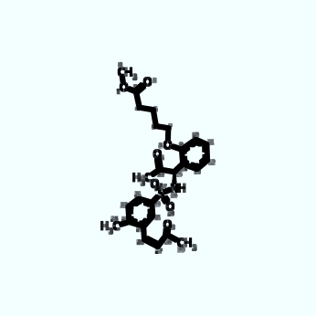 COC(=O)CCCCOc1ccccc1[C@@H](NS(=O)(=O)c1ccc(C)c(/C=C\C(C)=O)c1)C(C)=O